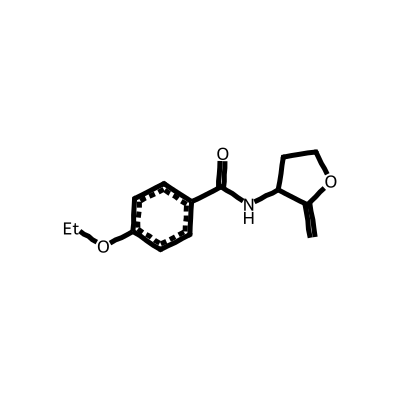 C=C1OCCC1NC(=O)c1ccc(OCC)cc1